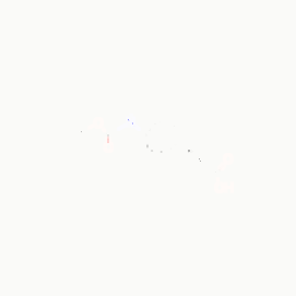 CC(C)[C@@H](CC(=O)O)c1ccc2c(c1)CCN2C(=O)OC(C)(C)C